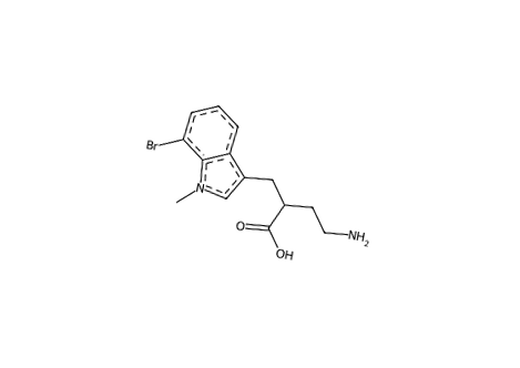 Cn1cc(CC(CCN)C(=O)O)c2cccc(Br)c21